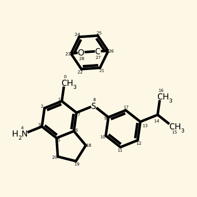 Cc1cc(N)c2c(c1Sc1cccc(C(C)C)c1)CCC2.c1cc2ccc1CO2